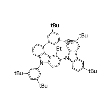 CCc1c(-n2c3ccc(C(C)(C)C)cc3c3cc(C(C)(C)C)ccc32)ccc2c1c1c(-c3cc(C(C)(C)C)cc(C(C)(C)C)c3)cccc1n2-c1cc(C(C)(C)C)cc(C(C)(C)C)c1